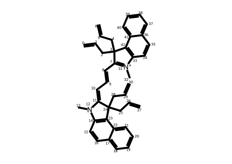 C=CCC1(CC=C)C(/C=C/C=C2/N(C)c3ccc4ccccc4c3C2(CC=C)CC=C)=[N+](C)c2ccc3ccccc3c21